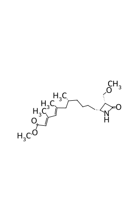 COC[C@@H]1C(=O)N[C@@H]1CCCC[C@@H](C)C/C(C)=C/C(C)=C/C(=O)OC